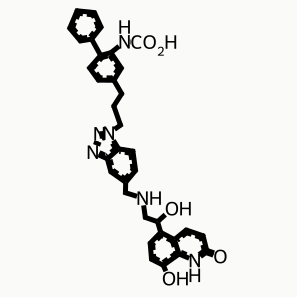 O=C(O)Nc1cc(CCCn2nnc3cc(CNCC(O)c4ccc(O)c5[nH]c(=O)ccc45)ccc32)ccc1-c1ccccc1